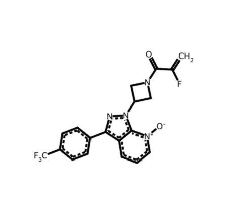 C=C(F)C(=O)N1CC(n2nc(-c3ccc(C(F)(F)F)cc3)c3ccc[n+]([O-])c32)C1